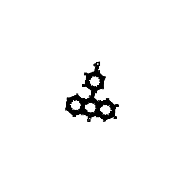 Clc1ccc(-c2c3ccccc3nc3ccccc23)cc1